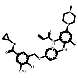 C=CC(=O)Nc1cc(N2CCN(C)CC2)cc(C)c1Nc1ncc(OCc2cc(C(=O)NC3CC3)cc(OC)c2Cl)cn1